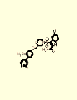 Cc1cc(OC[C@@H]2CN(S(=O)(=O)c3c(C(N)=O)[nH]c4ccc(Cl)cc34)CCO2)ccc1-c1ccnc(F)c1